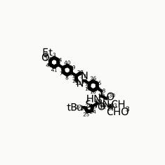 CCOc1ccc(-c2ccc(-c3cnc(-c4ccc(C[C@H](NC(=O)c5ccc(C(C)(C)C)s5)C(=O)N[C@H](C)C=O)cc4)nc3)cc2)cc1